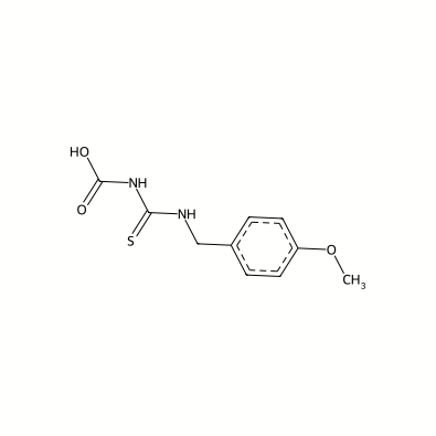 COc1ccc(CNC(=S)NC(=O)O)cc1